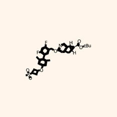 Cc1cc(OC2CC(S(C)(=O)=O)C2)cc(C)c1-c1cc(COc2cc3c(cn2)[C@H]2[C@H]4C3[C@@]42C(=O)OC(C)(C)C)c(F)cc1F